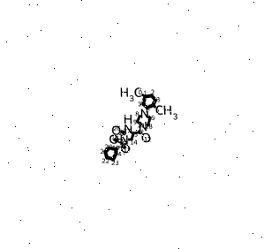 Cc1ccc(C)c(N2CCN(C(=O)C3CN(S(=O)(=O)c4ccccc4)C(=O)N3)CC2)c1